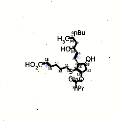 CCCC[C@@H](C)C[C@H](O)/C=C/[C@@H]1C(SCCC/C=C/C(=O)O)=C(OC(=O)CCC)C[C@H]1O